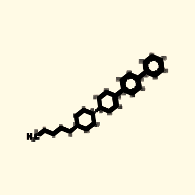 CCCCC[C@H]1CC[C@H](C2CC=C(c3ccc(-c4ccccc4)cc3)CC2)CC1